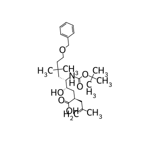 C=C(C)C[C@H](C[C@H](O)[C@H](CC(C)(C)CCOCc1ccccc1)NC(=O)OC(C)(C)C)C(=O)O